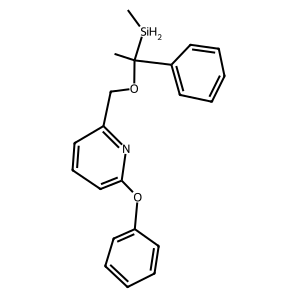 C[SiH2]C(C)(OCc1cccc(Oc2ccccc2)n1)c1ccccc1